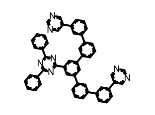 c1ccc(-c2nc(-c3ccccc3)nc(-c3cc(-c4cccc(-c5cccc(-c6cncnc6)c5)c4)cc(-c4cccc(-c5cccc(-c6cncnc6)c5)c4)c3)n2)cc1